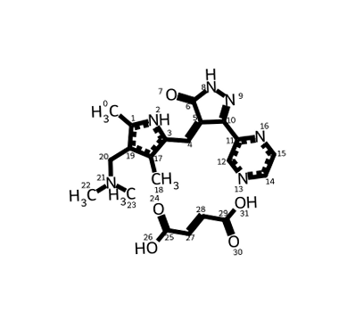 Cc1[nH]c(C=C2C(=O)NN=C2c2cnccn2)c(C)c1CN(C)C.O=C(O)C=CC(=O)O